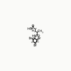 CC(CC[PH](=O)O)C(=O)Nc1c(Br)cc(Br)cc1Br